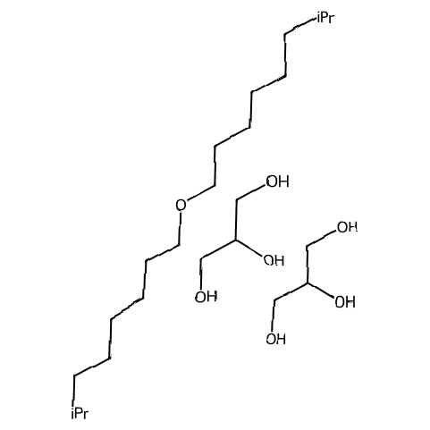 CC(C)CCCCCCOCCCCCCC(C)C.OCC(O)CO.OCC(O)CO